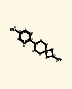 CC(C)N1CC2(CCN(c3ncc(C(C)(C)C)cn3)CC2)C1